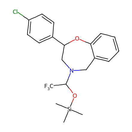 C[Si](C)(C)OC(N1Cc2ccccc2OC(c2ccc(Cl)cc2)C1)C(F)(F)F